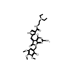 CCN(CC)CCNC(=O)c1c[nH]c(/C=C2/C(=O)N(Cc3cc(OC)c(OC)c(OC)c3Cl)c3nc(N)nc(Cl)c32)c1